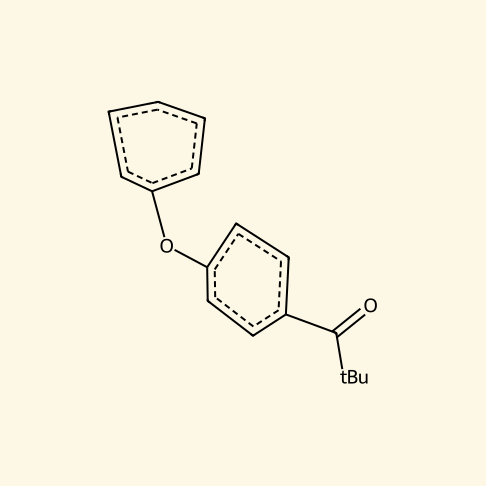 CC(C)(C)C(=O)c1ccc(Oc2ccccc2)cc1